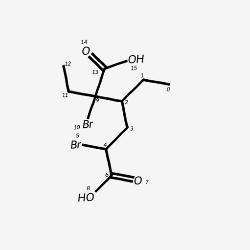 CCC(CC(Br)C(=O)O)C(Br)(CC)C(=O)O